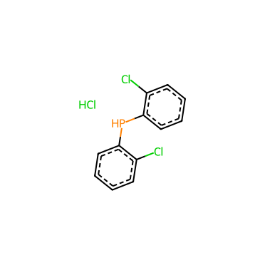 Cl.Clc1ccccc1Pc1ccccc1Cl